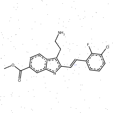 COC(=O)c1ccn2c(CCN)c(/C=C/c3cccc(Cl)c3F)nc2c1